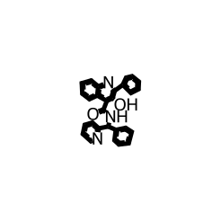 O=C(NC(c1ccccc1)c1ccccn1)c1c(O)c(-c2ccccc2)nc2ccccc12